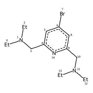 CCN(CC)Cc1cc(Br)cc(CN(CC)CC)n1